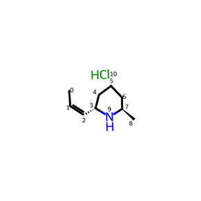 C/C=C\[C@@H]1CCC[C@@H](C)N1.Cl